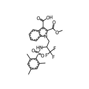 COC(=O)c1c(C(=O)O)c2ccccc2n1CC(NS(=O)(=O)c1c(C)cc(C)cc1C)C(F)(F)F